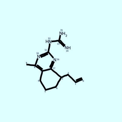 C=CCC1CCCc2c(C)nc(NC(=N)N)nc21